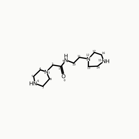 O=C(CN1CCNCC1)NCCN1CCNCC1